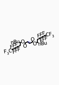 CCCCC(CC(F)(F)C(F)(F)C(F)(F)C(F)(F)F)OC(=O)/C=C/C(=O)OC(CCCC)CC(F)(F)C(F)(F)C(F)(F)C(F)(F)F